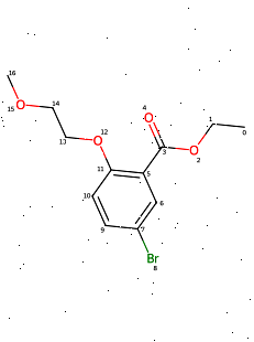 CCOC(=O)c1cc(Br)ccc1OCCOC